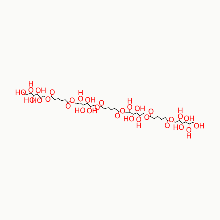 O=C(CCCCC(=O)OC[C@H](O)[C@@H](O)[C@H](O)[C@H](O)COC(=O)CCCCC(=O)OC[C@@H](O)[C@@H](O)[C@H](O)[C@@H](O)COC(=O)CCCCC(=O)OCC(O)C(O)C(O)C(O)CO)OCC(O)C(O)C(O)C(O)CO